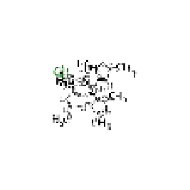 CC1=CC(C)[C]([Zr+2]([C]2=C(C)C=C(C)C2)([C]2=C(C)C=C(C)C2)=[Si](C)C)=C1.[Cl-].[Cl-]